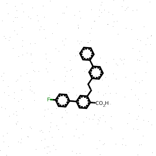 O=C(O)c1ccc(-c2ccc(F)cc2)cc1CCc1cccc(-c2ccccc2)c1